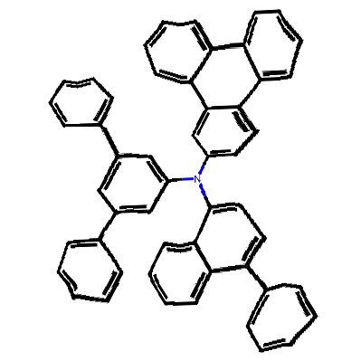 c1ccc(-c2cc(-c3ccccc3)cc(N(c3ccc4c5ccccc5c5ccccc5c4c3)c3ccc(-c4ccccc4)c4ccccc34)c2)cc1